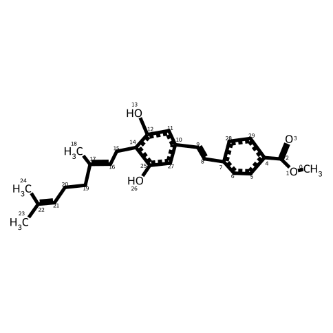 COC(=O)c1ccc(/C=C/c2cc(O)c(C/C=C(\C)CCC=C(C)C)c(O)c2)cc1